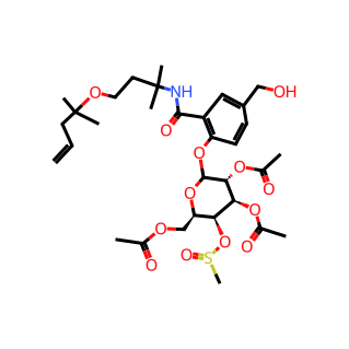 C=CCC(C)(C)OCCC(C)(C)NC(=O)c1cc(CO)ccc1OC1O[C@H](COC(C)=O)[C@H](OS(C)=O)[C@H](OC(C)=O)[C@H]1OC(C)=O